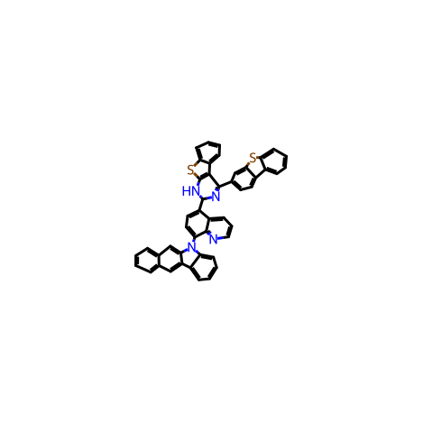 c1ccc2cc3c(cc2c1)c1ccccc1n3-c1ccc(C2N=C(c3ccc4c(c3)sc3ccccc34)c3c(sc4ccccc34)N2)c2cccnc12